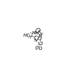 COC(=O)c1ccc(-c2cn([C@@H](C)c3ccccn3)c3cc(/C(C(C)=N)=C(\C)O)cnc23)s1